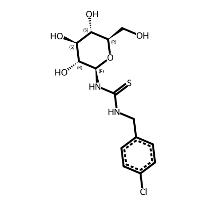 OC[C@H]1O[C@@H](NC(=S)NCc2ccc(Cl)cc2)[C@H](O)[C@@H](O)[C@@H]1O